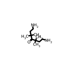 CC(C)(CCN)C(=O)C(C)(C)CCN